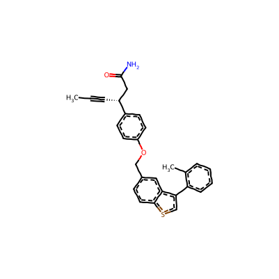 CC#C[C@H](CC(N)=O)c1ccc(OCc2ccc3scc(-c4ccccc4C)c3c2)cc1